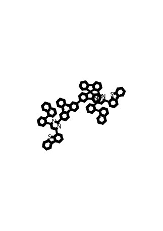 c1ccc(-c2cccc3ccccc23)c(-c2cc(-c3cccc4c3sc3ccccc34)nc(-c3ccc4c5ccc(-c6ccc7c(c6)-c6ccccc6C76c7ccccc7-c7cccc(-c8nc(-c9ccccc9-c9cccc%10ccccc9%10)cc(-c9cccc%10c9sc9ccccc9%10)n8)c76)cc5c5ccccc5c4c3)n2)c1